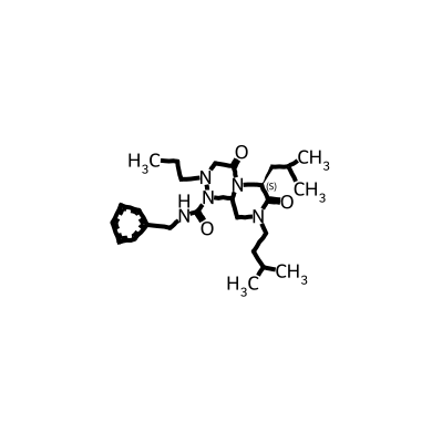 CCCN1CC(=O)N2C(CN(CCC(C)C)C(=O)[C@@H]2CC(C)C)N1C(=O)NCc1ccccc1